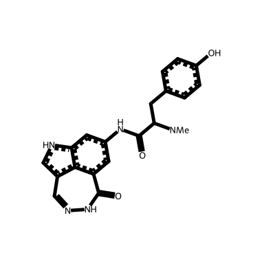 CNC(Cc1ccc(O)cc1)C(=O)Nc1cc2c3c(c[nH]c3c1)C=NNC2=O